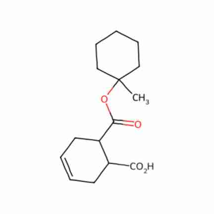 CC1(OC(=O)C2CC=CCC2C(=O)O)CCCCC1